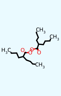 CCCCC(CCCC)C(=O)OOC(=O)C(CCCC)CCCC